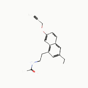 C#CCOc1ccc2cc(CC)cc(CCNC(C)=O)c2c1